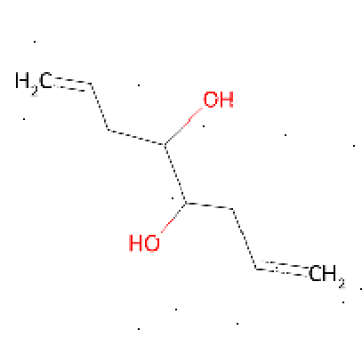 C=CCC(O)C(O)CC=C